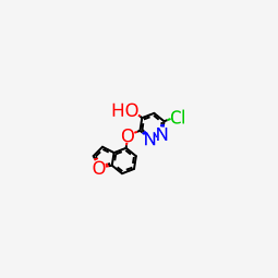 Oc1cc(Cl)nnc1Oc1cccc2occc12